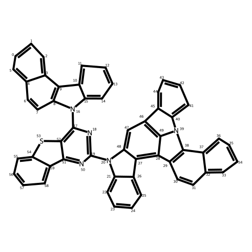 c1ccc2c(c1)ccc1c2c2ccccc2n1-c1nc(-n2c3ccccc3c3c4c5ccc6ccccc6c5n5c6ccccc6c(cc32)c45)nc2c1sc1ccccc12